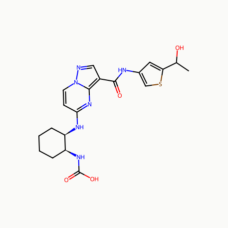 CC(O)c1cc(NC(=O)c2cnn3ccc(N[C@@H]4CCCC[C@@H]4NC(=O)O)nc23)cs1